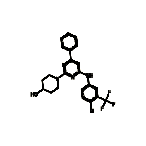 OC1CCN(c2nc(Nc3ccc(Cl)c(C(F)(F)F)c3)cc(-c3ccccc3)n2)CC1